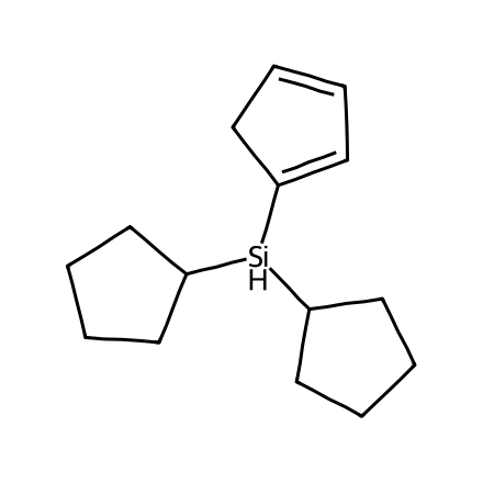 C1=CCC([SiH](C2CCCC2)C2CCCC2)=C1